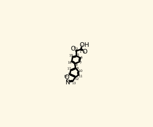 O=C(O)C(=O)c1ccc(-c2ccc3cnoc3c2)cc1